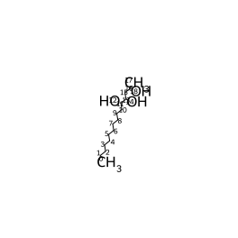 CCCCCCCCCCCC(O)C(O)CC(C)O